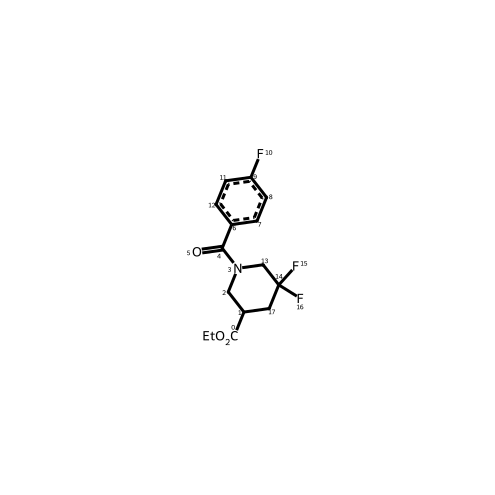 CCOC(=O)C1CN(C(=O)c2ccc(F)cc2)CC(F)(F)C1